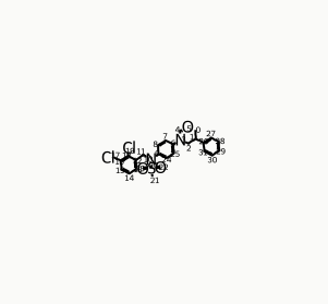 CC(CN(C=O)c1ccc(N(Cc2cccc(Cl)c2Cl)S(C)(=O)=O)cc1)c1ccccc1